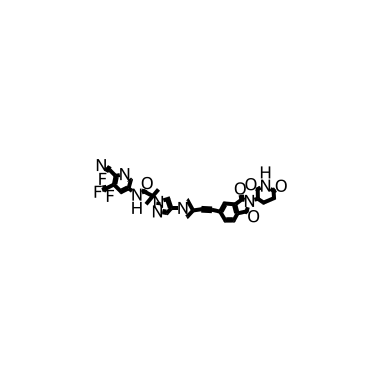 CC(C)(C(=O)Nc1cnc(C#N)c(C(F)(F)F)c1)n1cc(N2CC(C#Cc3ccc4c(c3)C(=O)N(C3CCC(=O)NC3=O)C4=O)C2)cn1